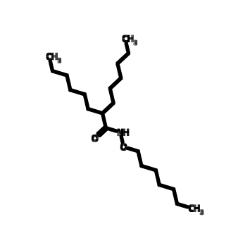 CCCCCCCONC(=O)C(CCCCCC)CCCCCC